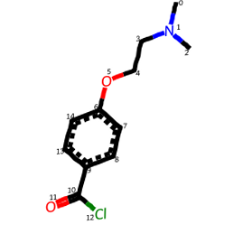 CN(C)CCOc1ccc(C(=O)Cl)cc1